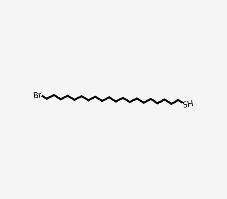 SCCCCCCCCCCCCCCCCCCCCBr